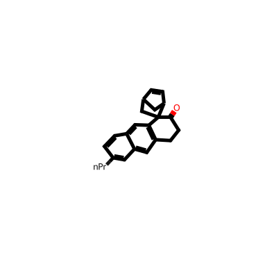 CCCc1ccc2cc3c(cc2c1)CCC(=O)C31CC2C=CC1C2